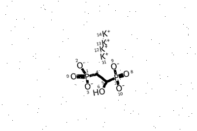 O=P([O-])([O-])CC(O)P(=O)([O-])[O-].[K+].[K+].[K+].[K+]